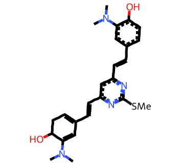 CSc1nc(/C=C/C2=CCC(O)C(N(C)C)=C2)cc(/C=C/c2ccc(O)c(N(C)C)c2)n1